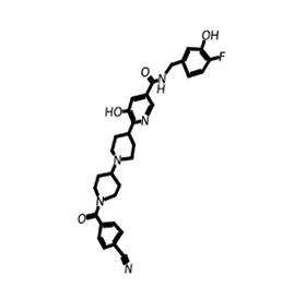 N#Cc1ccc(C(=O)N2CCC(N3CCC(c4ncc(C(=O)NCc5ccc(F)c(O)c5)cc4O)CC3)CC2)cc1